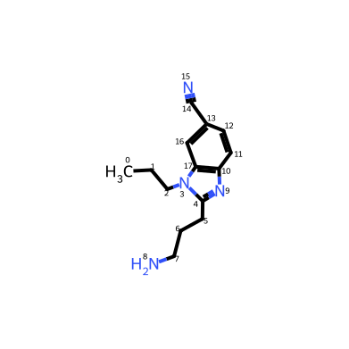 CCCn1c(CCCN)nc2ccc(C#N)cc21